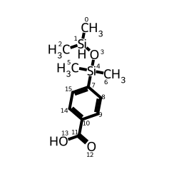 C[SiH](C)O[Si](C)(C)c1ccc(C(=O)O)cc1